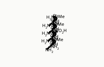 COc1ccc(NC(=O)[C@H](CCCCN)NC(=O)c2cc(NC(=O)[C@H](CCCCN)NC(=O)c3cc(NC(=O)[C@H](CCCCN)NC(=O)c4cc(NC(=O)[C@@H](N)CCCCCN)ccc4OC)ccc3OCC(=O)O)ccc2OC)cc1C(N)=O